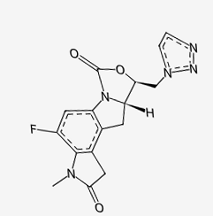 CN1C(=O)Cc2c3c(cc(F)c21)N1C(=O)O[C@@H](Cn2ccnn2)[C@@H]1C3